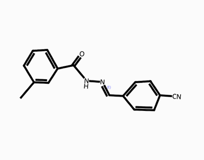 Cc1cccc(C(=O)N/N=C/c2ccc(C#N)cc2)c1